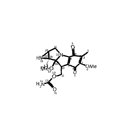 COC1=C(C)C(=O)C2=C(C1=O)C(COC(N)=O)C1(OC)[C@H]3NC3CN21